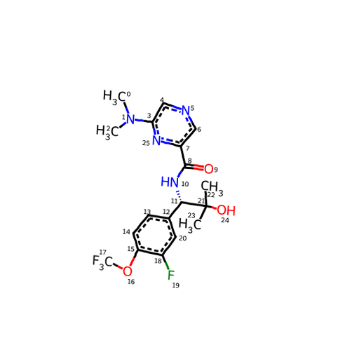 CN(C)c1cncc(C(=O)N[C@@H](c2ccc(OC(F)(F)F)c(F)c2)C(C)(C)O)n1